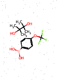 CC(C)(O)C(C)(C)O.OB(O)c1ccc(OC(F)(F)F)cc1